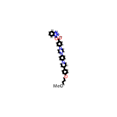 COCCCCOc1ccc(C2CCN(c3ccc(N4CCN(c5ccc(C(=O)On6nnc7ccccc76)cc5)CC4)cc3)CC2)cc1